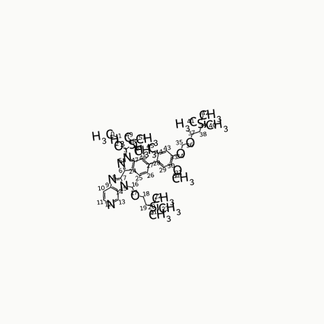 CCOC(n1nc(-c2nc3ccncc3n2COCC[Si](C)(C)C)c2ccc(-c3cc(OC)c(OCOCC[Si](C)(C)C)cc3C)cc21)[Si](C)(C)C